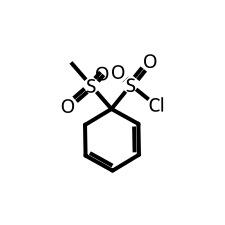 CS(=O)(=O)C1(S(=O)(=O)Cl)C=CC=CC1